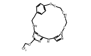 FC(F)(F)COc1nc2nc(n1)Nc1cnn(c1)CCNCCCOc1ccc(cc1)CN2